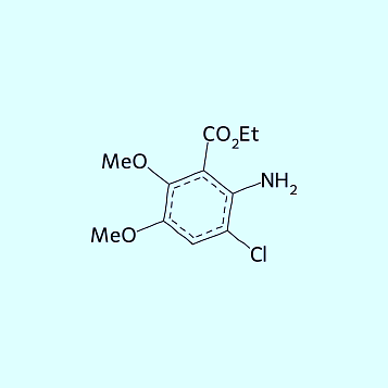 CCOC(=O)c1c(N)c(Cl)cc(OC)c1OC